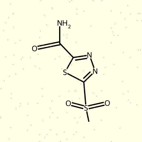 CS(=O)(=O)c1nnc(C(N)=O)s1